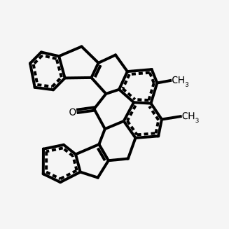 Cc1cc2c3c4c5c(cc(C)c14)CC1=C(c4ccccc4C1)C5C(=O)C3C1=C(Cc3ccccc31)C2